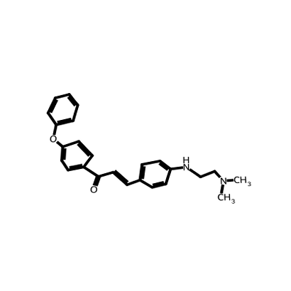 CN(C)CCNc1ccc(/C=C/C(=O)c2ccc(Oc3ccccc3)cc2)cc1